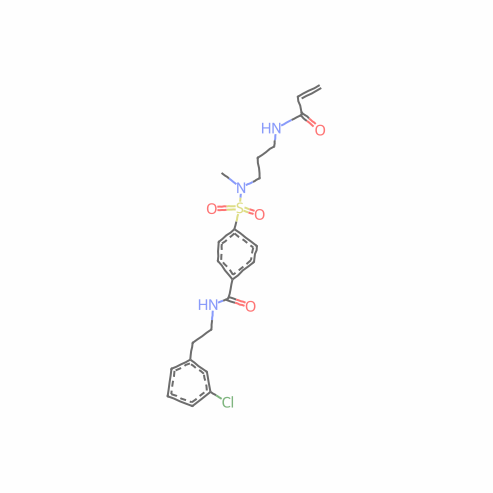 C=CC(=O)NCCCN(C)S(=O)(=O)c1ccc(C(=O)NCCc2cccc(Cl)c2)cc1